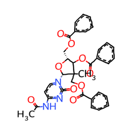 CC(=O)Nc1ccn([C@@H]2O[C@H](COC(=O)c3ccccc3)C(OC(=O)c3ccccc3)C2(C)COC(=O)c2ccccc2)c(=O)n1